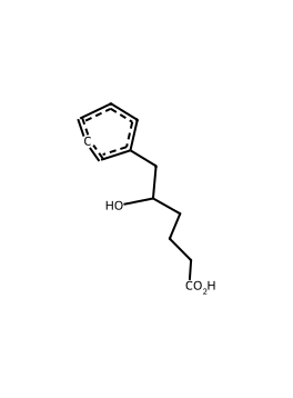 O=C(O)CCCC(O)Cc1ccccc1